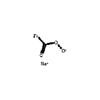 CC(C)C(=O)O[O-].[Na+]